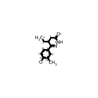 CCC1CC(=O)NN=C1c1ccc([O])c(C)c1